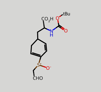 CC(C)(C)OC(=O)NC(CC1C=CC([S+]([O-])CC=O)=CC1)C(=O)O